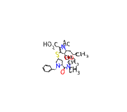 CC(=O)N1C(C(=O)O)=C(S[C@H]2C[C@@H](C(=O)N(C)C)N(Cc3ccccc3)C2)[C@H](C)[C@@H]1C[C@@H](C)O